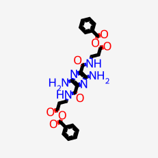 Nc1nc(C(=O)NCCC(=O)OC(=O)c2ccccc2)c(N)nc1C(=O)NCCC(=O)OC(=O)c1ccccc1